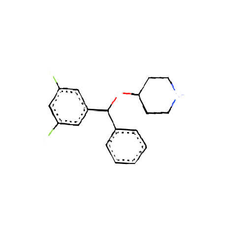 Fc1cc(F)cc(C(OC2CCNCC2)c2ccccc2)c1